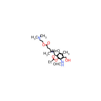 CCC(=O)Oc1c(C/C=C(\C)CCC(=O)OCCN(C)C)c(OC)c(C)c(CO)c1NC=O